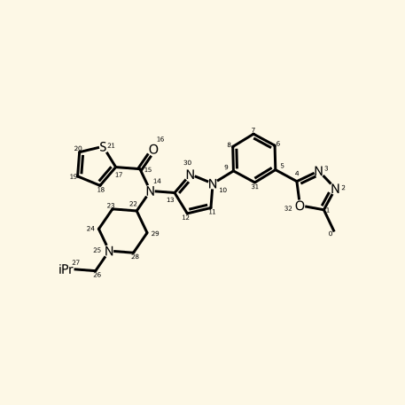 Cc1nnc(-c2cccc(-n3ccc(N(C(=O)c4cccs4)C4CCN(CC(C)C)CC4)n3)c2)o1